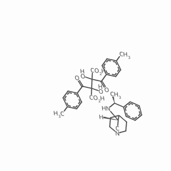 C[C@H](N[C@H]1CN2CCC1CC2)c1ccccc1.Cc1ccc(C(=O)C(O)(C(=O)O)C(O)(C(=O)O)C(=O)c2ccc(C)cc2)cc1